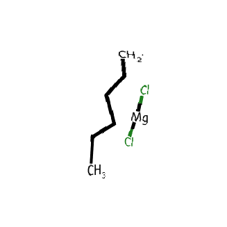 [CH2]CCCCC.[Cl][Mg][Cl]